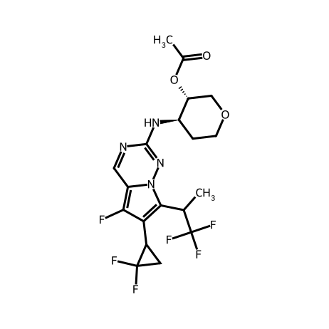 CC(=O)O[C@@H]1COCC[C@H]1Nc1ncc2c(F)c(C3CC3(F)F)c(C(C)C(F)(F)F)n2n1